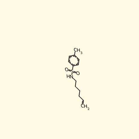 C=CCCCCNS(=O)(=O)c1ccc(C)cc1